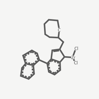 [Cl][Zr]([Cl])[CH]1C(CC2CCCCCC2)=Cc2c(-c3cccc4ccccc34)cccc21